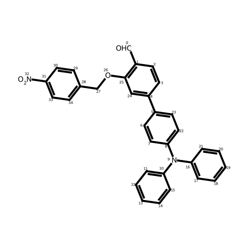 O=Cc1ccc(-c2ccc(N(c3ccccc3)c3ccccc3)cc2)cc1OCc1ccc([N+](=O)[O-])cc1